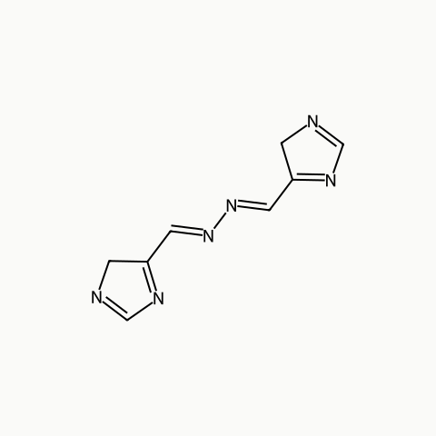 C1=NCC(/C=N/N=C/C2=NC=NC2)=N1